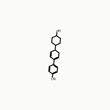 CCCC1CCC(C2C=CC(c3ccc(C#N)cc3)=CC2)CC1